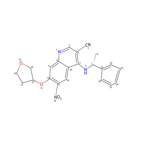 C[C@@H](Nc1c(C#N)cnc2cc(OC3CCOC3)c([N+](=O)[O-])cc12)c1ccccc1